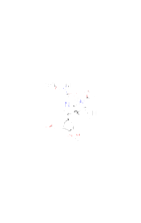 CCCON(CCC)C(=O)CN1C[C@H](c2cc(CO)c3c(c2)OCO3)[C@@H](C(=O)O)[C@@H]1CN1CCCC1=O